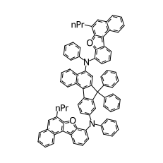 CCCc1cc2ccccc2c2c1oc1c(N(c3ccccc3)c3ccc4c(c3)C(c3ccccc3)(c3ccccc3)c3cc(N(c5ccccc5)c5cccc6c5oc5c(CCC)cc7ccccc7c56)c5ccccc5c3-4)cccc12